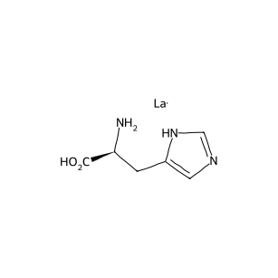 N[C@@H](Cc1cnc[nH]1)C(=O)O.[La]